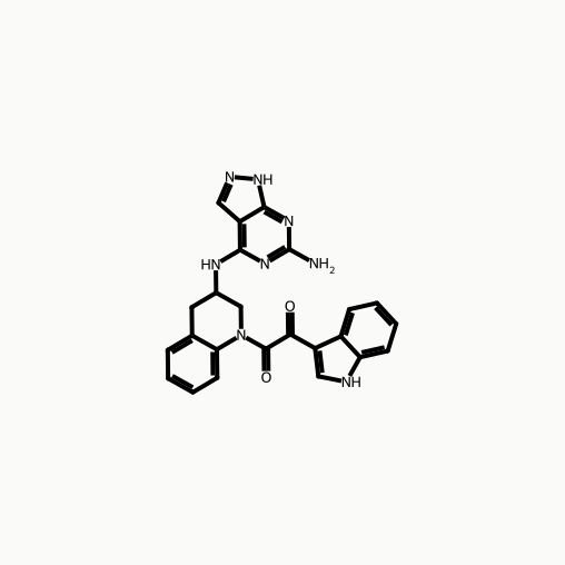 Nc1nc(NC2Cc3ccccc3N(C(=O)C(=O)c3c[nH]c4ccccc34)C2)c2cn[nH]c2n1